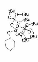 CC(C)(C)O[Si](OC(C)(C)C)(OC(C)(C)C)[O][Zr]([O]C1CCCCC1)([O]C1CCCCC1)[O][Si](OC(C)(C)C)(OC(C)(C)C)OC(C)(C)C